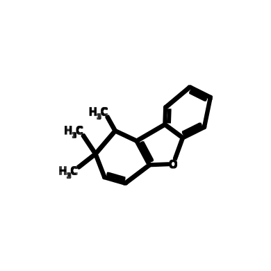 CC1c2c(oc3ccccc23)C=CC1(C)C